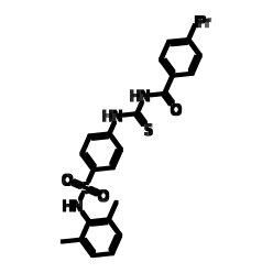 Cc1cccc(C)c1NS(=O)(=O)c1ccc(NC(=S)NC(=O)c2ccc(C(C)C)cc2)cc1